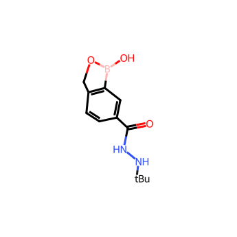 CC(C)(C)NNC(=O)c1ccc2c(c1)B(O)OC2